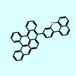 c1ccc(-c2c3ccccc3c(-c3ccc4c(c3)Oc3cccc5cccc-4c35)c3ccccc23)c(-c2cccc3ccccc23)c1